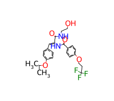 CC(C)Oc1ccc(C=C(NC(=O)c2ccc(OCCC(F)(F)F)cc2)C(=O)NCCO)cc1